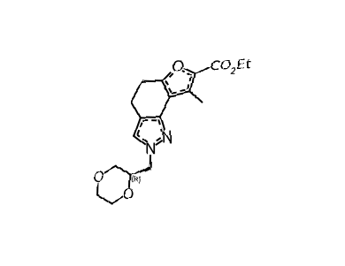 CCOC(=O)c1oc2c(c1C)-c1nn(C[C@@H]3COCCO3)cc1CC2